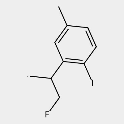 [CH2]C(CF)c1cc(C)ccc1I